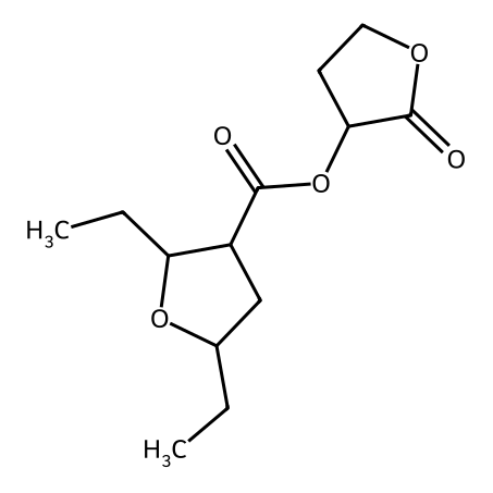 CCC1CC(C(=O)OC2CCOC2=O)C(CC)O1